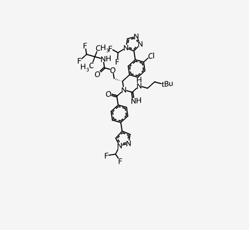 CC(C)(C)CCNC(=N)N(C(=O)c1ccc(-c2cnn(C(F)F)c2)cc1)[C@H](COC(=O)NC(C)(C)C(F)F)c1ccc(Cl)c(-c2nncn2C(F)F)c1